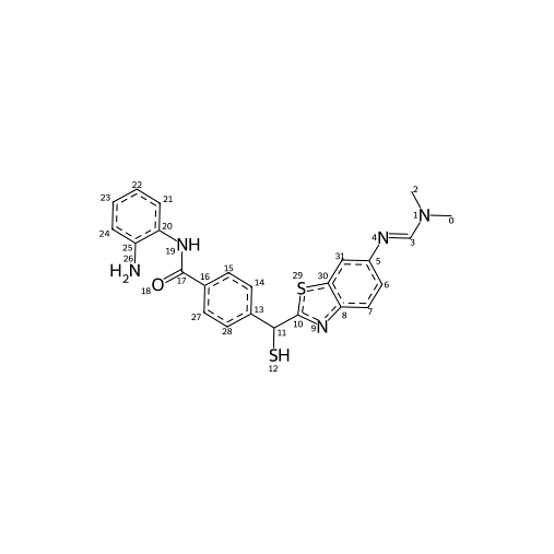 CN(C)/C=N/c1ccc2nc(C(S)c3ccc(C(=O)Nc4ccccc4N)cc3)sc2c1